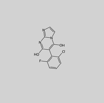 Oc1nc2nccn2c(O)c1-c1c(F)cccc1Cl